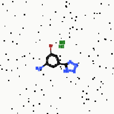 Cl.Cl.Nc1cc(Br)cc(-c2nnn[nH]2)c1